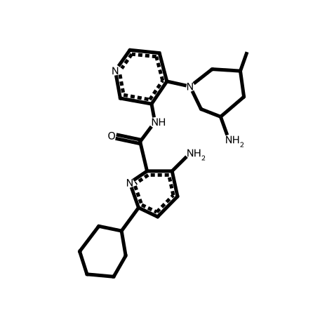 CC1CC(N)CN(c2ccncc2NC(=O)c2nc(C3CCCCC3)ccc2N)C1